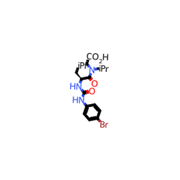 CC(C)C[C@H](NC(=O)Nc1ccc(Br)cc1)C(=O)N(CC(=O)O)C(C)C